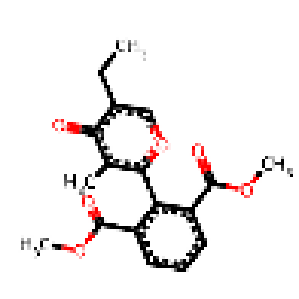 CCc1coc(-c2c(C(=O)OC)cccc2C(=O)OC)c(C)c1=O